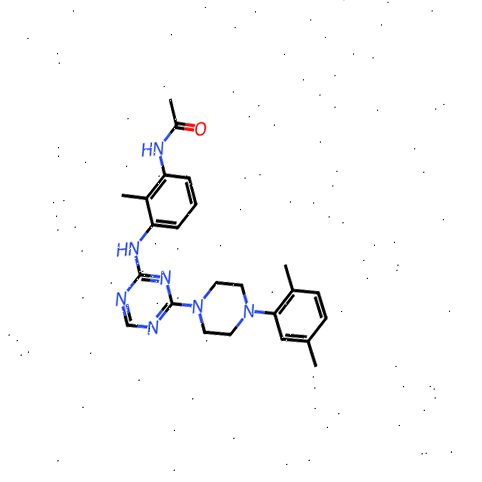 CC(=O)Nc1cccc(Nc2ncnc(N3CCN(c4cc(C)ccc4C)CC3)n2)c1C